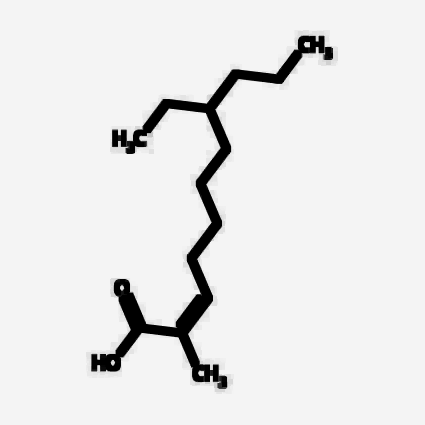 CCCC(CC)CCCCC=C(C)C(=O)O